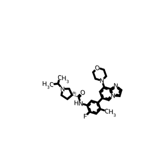 Cc1cc(F)c(NC(=O)[C@@H]2CCN(C(C)C)C2)cc1-c1cc(N2CCOCC2)c2nccn2c1